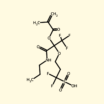 C=C(C)C(=O)OC(OCCC(F)(F)S(=O)(=O)O)(C(=O)NCCC)C(F)(F)F